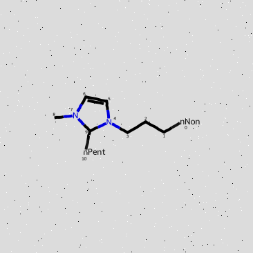 CCCCCCCCCCCCN1C=CN(C)C1CCCCC